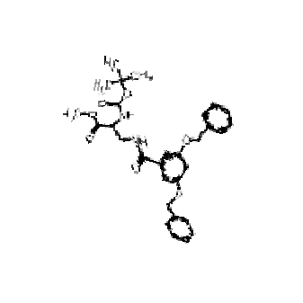 COC(=O)[C@H](CNC(=O)c1cc(OCc2ccccc2)cc(OCc2ccccc2)c1)NC(=O)OC(C)(C)C